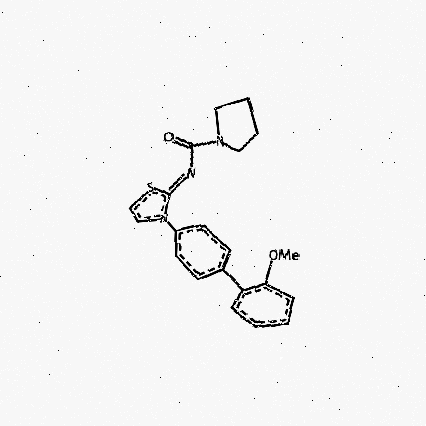 COc1ccccc1-c1ccc(-n2ccs/c2=N\C(=O)N2CCCC2)cc1